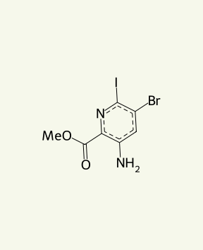 COC(=O)c1nc(I)c(Br)cc1N